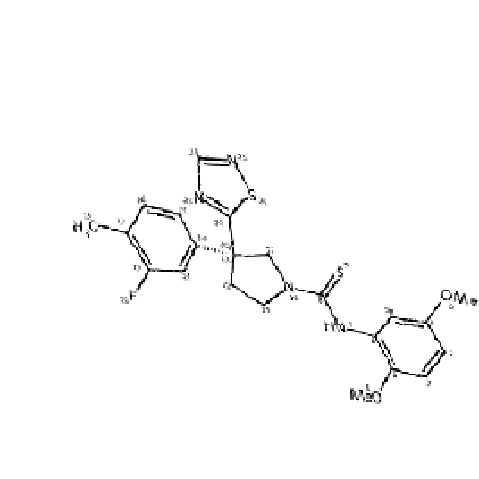 COc1ccc(OC)c(NC(=S)N2CC[C@@](c3ccc(C)c(F)c3)(c3ncns3)C2)c1